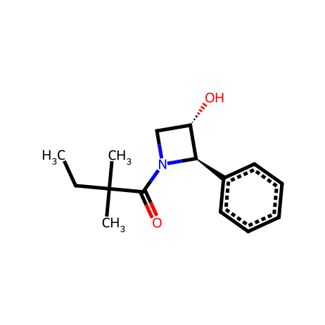 CCC(C)(C)C(=O)N1C[C@H](O)[C@H]1c1ccccc1